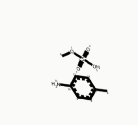 COS(=O)(=O)O.Cc1ccc(N)cc1